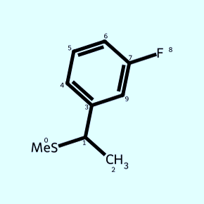 CSC(C)c1cccc(F)c1